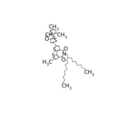 CCCCCCCCCCC(CCCCCCCC)Cn1c(=O)c2cc(C)sc2c2sc(-c3cc(OC)c(-c4sc(C)cc4C)s3)cc2c1=O